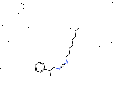 CCCCCCCCN=C=NCC(C)c1ccccc1